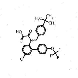 CC(C)(C)c1ccc(CN(C(=O)C(=O)O)c2ccc(Cl)cc2-c2ccc(OC(F)(F)F)cc2)cc1